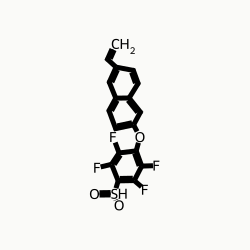 C=Cc1ccc2cc(Oc3c(F)c(F)c([SH](=O)=O)c(F)c3F)ccc2c1